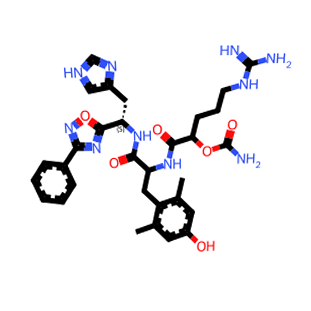 Cc1cc(O)cc(C)c1CC(NC(=O)C(CCCNC(=N)N)OC(N)=O)C(=O)N[C@@H](Cc1c[nH]cn1)c1nc(-c2ccccc2)no1